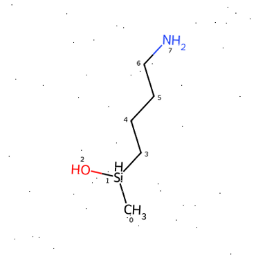 C[SiH](O)CCCCN